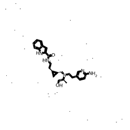 C[C@@H](CO)N(CCc1ccc(N)nc1)C[C@@H]1C[C@H]1CCNC(=O)c1cc2ccccc2[nH]1